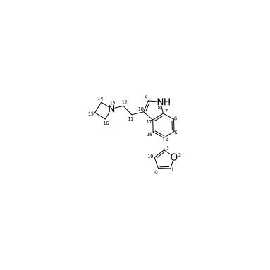 c1coc(-c2ccc3[nH]cc(CCN4CCC4)c3c2)c1